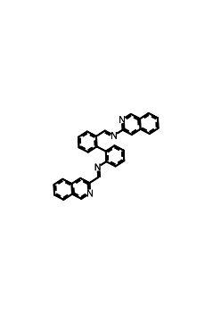 C(=Nc1cc2ccccc2cn1)c1ccccc1-c1ccccc1N=Cc1cc2ccccc2cn1